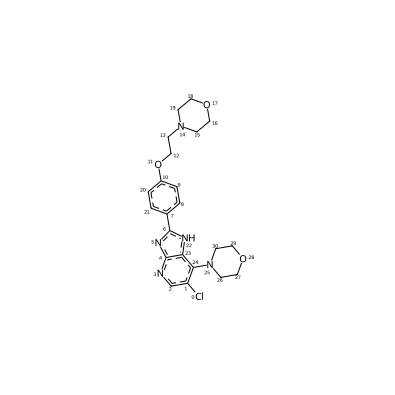 Clc1cnc2nc(-c3ccc(OCCN4CCOCC4)cc3)[nH]c2c1N1CCOCC1